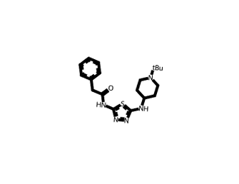 CC(C)(C)N1CCC(Nc2nnc(NC(=O)Cc3ccccc3)s2)CC1